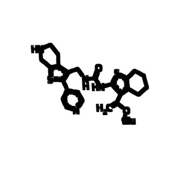 C=C(OC(C)(C)C)c1c(NC(=O)NCc2c(-c3ccncc3)sc3c2CCNC3)sc2c1CCCC2